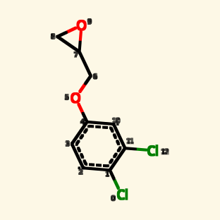 Clc1[c]cc(OCC2CO2)[c]c1Cl